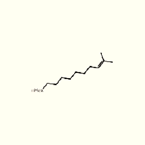 [CH2]CCCCCCCCCCCCC=C(C)C